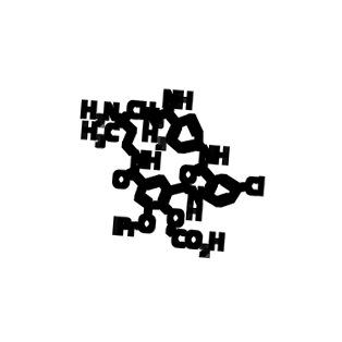 CC(C)Oc1cc(C(=O)NCCC(C)(C)N)cc(CNc2ccc(Cl)cc2C(=O)Nc2ccc(C(=N)N)cc2)c1OCC(=O)O